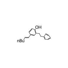 CCCCC=Cc1ccc(O)c(CCc2ccccc2)c1